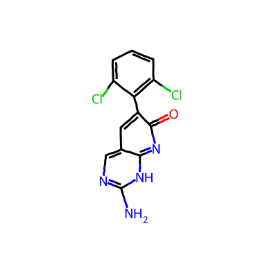 Nc1ncc2cc(-c3c(Cl)cccc3Cl)c(=O)nc-2[nH]1